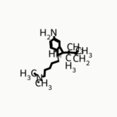 C=C(C)C(C)(C)C1C2C=C(N)C=C[C@H]2[C@@H]1CCCCCN(C)C